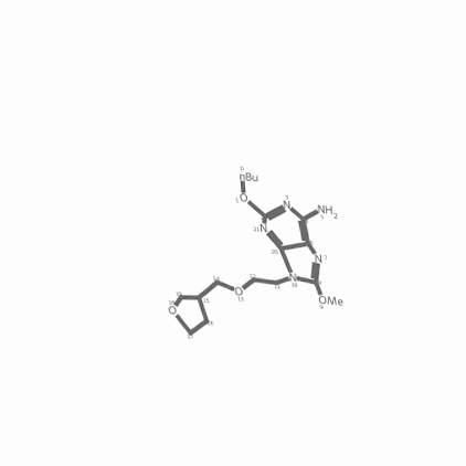 CCCCOc1nc(N)c2nc(OC)n(CCOCC3CCOC3)c2n1